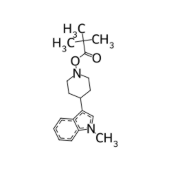 Cn1cc(C2CCN(OC(=O)C(C)(C)C)CC2)c2ccccc21